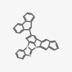 c1ccc2cc3c(cc2c1)c1cc(-c2cc4ccccc4c4ccccc24)cc2c1n3c1nc3ccccc3n21